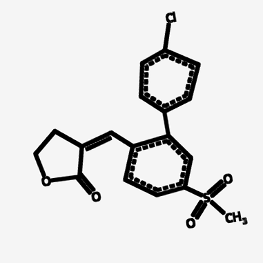 CS(=O)(=O)c1ccc(/C=C2/CCOC2=O)c(-c2ccc(Cl)cc2)c1